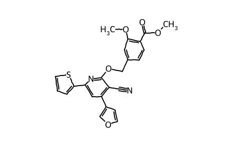 COC(=O)c1ccc(COc2nc(-c3cccs3)cc(-c3ccoc3)c2C#N)cc1OC